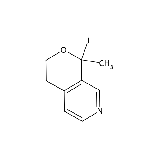 CC1(I)OCCc2ccncc21